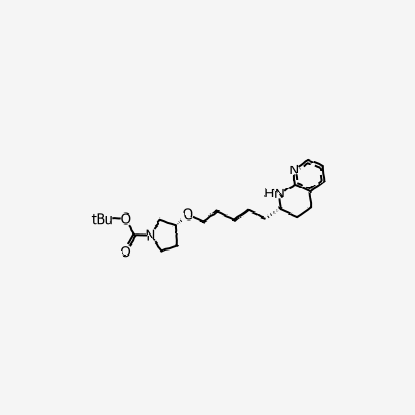 CC(C)(C)OC(=O)N1CC[C@@H](OCCCCC[C@H]2CCc3cccnc3N2)C1